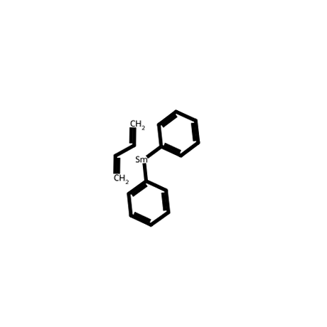 C=CC=C.c1cc[c]([Sm][c]2ccccc2)cc1